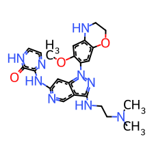 COc1cc2c(cc1-n1nc(NCCN(C)C)c3cnc(Nc4ncc[nH]c4=O)cc31)OCCN2